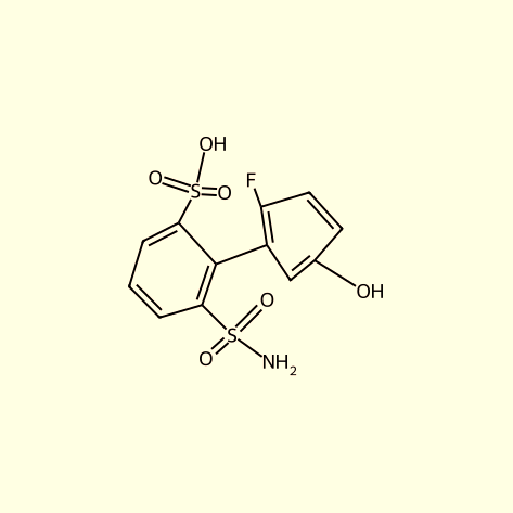 NS(=O)(=O)c1cccc(S(=O)(=O)O)c1-c1cc(O)ccc1F